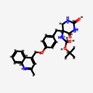 Cc1cc(COc2ccc(CC3(NC(=O)OC(C)(C)C)CNC(=O)NC3=O)cc2)c2ccccc2n1